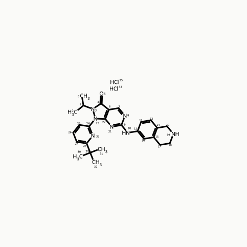 CC(C)n1c(=O)c2cnc(Nc3ccc4c(c3)CCNC4)nc2n1-c1cccc(C(C)(C)C)n1.Cl.Cl